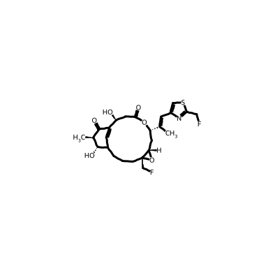 C/C(=C\c1csc(CF)n1)[C@@H]1C[C@@H]2O[C@]2(CF)CCCC2C=C(C(=O)[C@H](C)[C@H]2O)[C@@H](O)CC(=O)O1